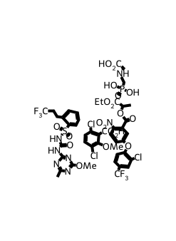 CCOC(=O)C(C)OC(=O)c1cc(Oc2ccc(C(F)(F)F)cc2Cl)ccc1[N+](=O)[O-].COc1c(Cl)ccc(Cl)c1C(=O)O.COc1nc(C)nc(NC(=O)NS(=O)(=O)c2ccccc2CCC(F)(F)F)n1.O=C(O)CNCP(=O)(O)O